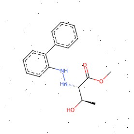 COC(=O)[C@@H](NNc1ccccc1-c1ccccc1)[C@@H](C)O